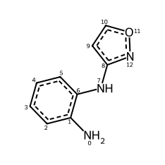 Nc1ccccc1Nc1ccon1